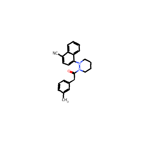 Cc1cccc(CC(=O)N2CCCCN2c2ccc(C#N)c3ccccc23)c1